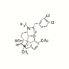 CC(=O)Oc1ccc2c3c1OC1C(N(C)C(=O)Cc4ccc(Cl)c(Cl)c4)CC[C@@]4(O)[C@@H](C2)N(C)CC[C@]314